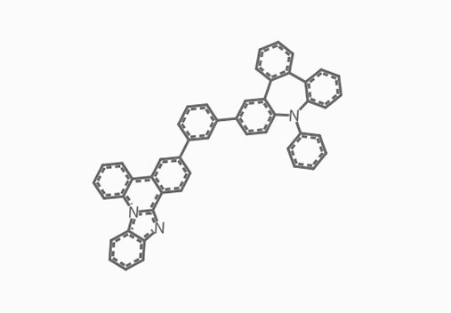 c1ccc(N2c3ccccc3-c3ccccc3-c3cc(-c4cccc(-c5ccc6c(c5)c5ccccc5n5c7ccccc7nc65)c4)ccc32)cc1